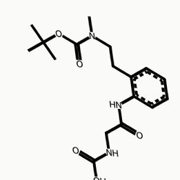 CN(CCc1ccccc1NC(=O)CNC(=O)O)C(=O)OC(C)(C)C